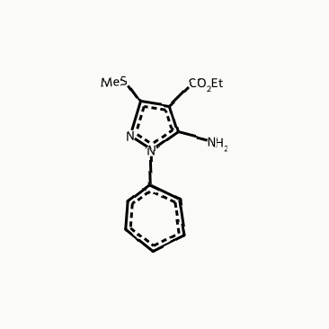 CCOC(=O)c1c(SC)nn(-c2ccccc2)c1N